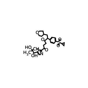 CC(C)(O)C(O)c1cnc(C(=O)CCC(=O)C(CC2CCOCC2)c2ccc(S(=O)(=O)C3CC3)cc2)s1